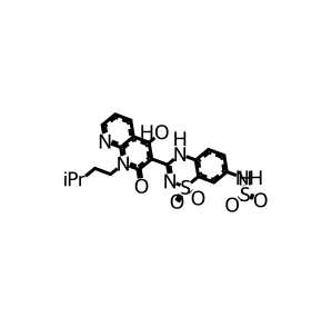 CC(C)CCn1c(=O)c(C2=NS(=O)(=O)c3cc(N[SH](=O)=O)ccc3N2)c(O)c2cccnc21